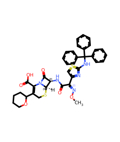 CO/N=C(\C(=O)N[C@@H]1C(=O)N2C(C(=O)O)=C(C3CCCCO3)CS[C@H]12)c1csc(NC(c2ccccc2)(c2ccccc2)c2ccccc2)n1